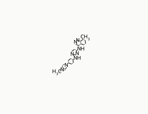 Cc1cccc2c(Nc3ccnc(Nc4ccc(N5CC6CC5CN6C)cc4)n3)cnnc12